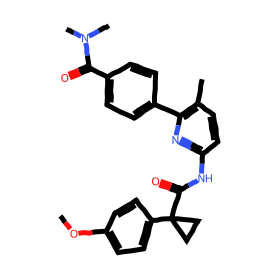 COc1ccc(C2(C(=O)Nc3ccc(C)c(-c4ccc(C(=O)N(C)C)cc4)n3)CC2)cc1